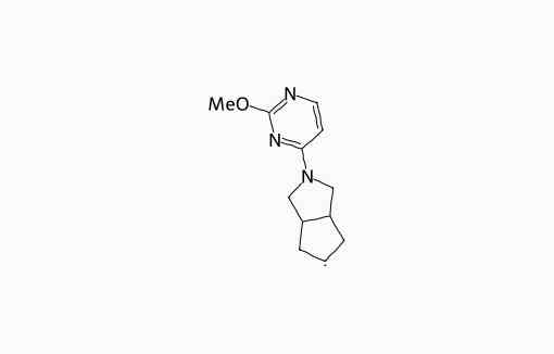 COc1nccc(N2CC3C[CH]CC3C2)n1